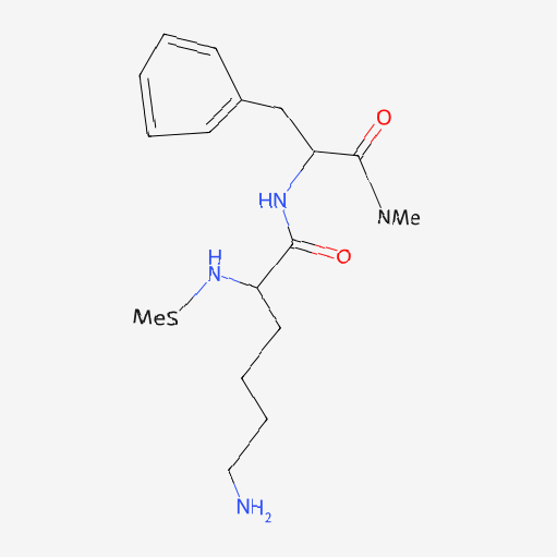 CNC(=O)C(Cc1ccccc1)NC(=O)C(CCCCN)NSC